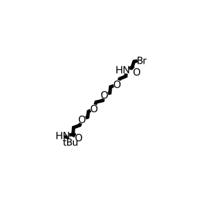 CC(C)(C)NC(=O)CCOCCOCCOCCOCCNC(=O)CBr